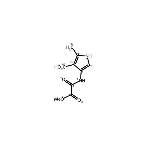 COC(=O)C(=O)Nc1c[nH]c(C)c1C(=O)O